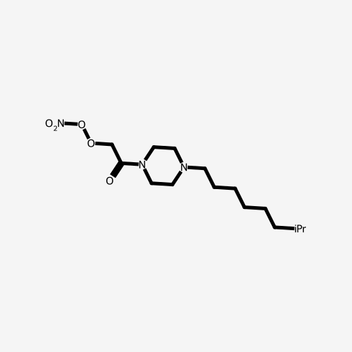 CC(C)CCCCCCN1CCN(C(=O)COO[N+](=O)[O-])CC1